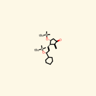 C=C1C(=O)C[C@@H](O[Si](C)(C)C(C)(C)C)[C@@H]1/C=C/[C@@H](O[Si](C)(C)C(C)(C)C)C1CCCCC1